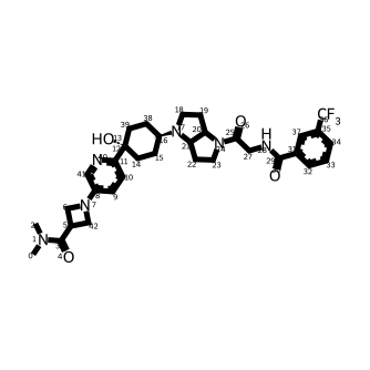 CN(C)C(=O)C1CN(c2ccc([C@]3(O)CC[C@H](N4CCC5C4CCN5C(=O)CNC(=O)c4cccc(C(F)(F)F)c4)CC3)nc2)C1